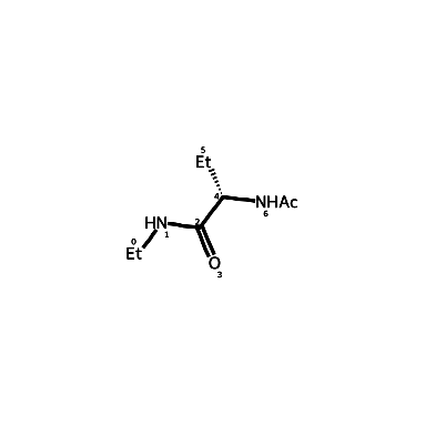 CCNC(=O)[C@H](CC)NC(C)=O